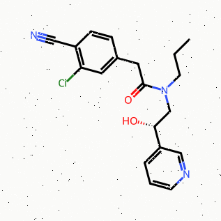 CCCN(C[C@@H](O)c1cccnc1)C(=O)Cc1ccc(C#N)c(Cl)c1